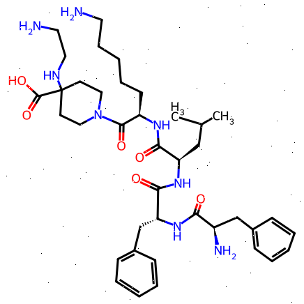 CC(C)C[C@@H](NC(=O)[C@@H](Cc1ccccc1)NC(=O)[C@H](N)Cc1ccccc1)C(=O)N[C@H](CCCCCN)C(=O)N1CCC(NCCN)(C(=O)O)CC1